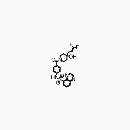 O=C(c1ccc(NS(=O)(=O)c2cccc3nccnc23)cc1)N1CCC(O)(CC=C(F)F)CC1